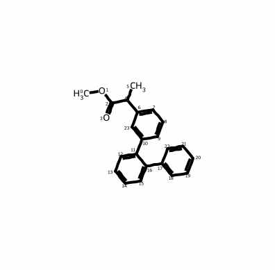 COC(=O)C(C)c1cccc(-c2ccccc2-c2ccccc2)c1